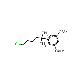 COc1cc(OC)cc(C(C)(C)CCCCCl)c1